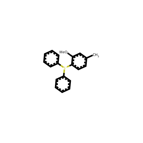 COc1cc(C)ccc1[S+](c1ccccc1)c1ccccc1